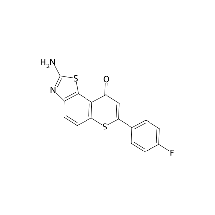 Nc1nc2ccc3sc(-c4ccc(F)cc4)cc(=O)c3c2s1